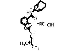 CN(C)CCNc1nc2c(C(=O)NC3CC4CCCC(C3)N4C)cccc2o1.Cl.Cl.Cl